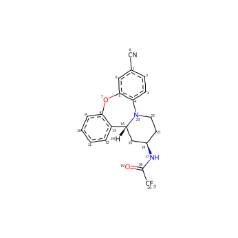 N#Cc1ccc2c(c1)Oc1ccccc1[C@H]1C[C@H](NC(=O)C(F)(F)F)CCN21